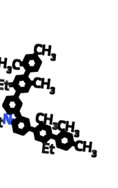 CCc1cc(-c2ccc(C)cc2C)c(C)cc1-c1ccc2c(c1)c1cc(-c3cc(CC)c(-c4ccc(C)cc4C)cc3C)ccc1n2CC